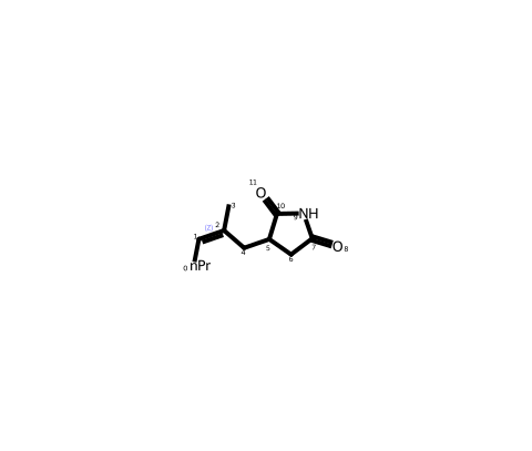 CCC/C=C(/C)CC1CC(=O)NC1=O